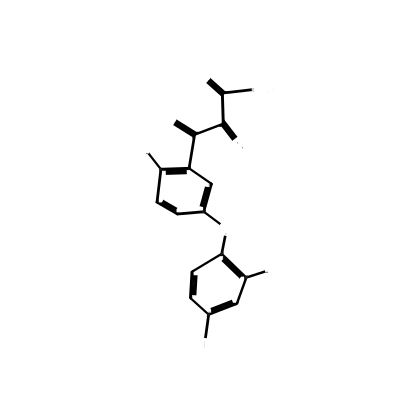 CCCCC(=O)C(=N)C(=O)c1cc(Oc2ccc(I)cc2I)ccc1I